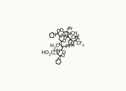 CC(C)C[C@](C)(NC(=O)C(F)(F)F)C(=O)N(C)[C@H](C(=O)N[C@@H](CC(=O)N(C)[C@H](C(=O)N[C@@H](CC(=O)O)C(=O)N1CCCC1)C(C)C)C(=O)N1CCCC1)C(C)C